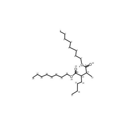 CCCCCCCCOC(=O)C(C)C(CCCC)C(=O)OCCCCCCCC